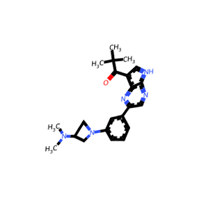 CN(C)C1CN(c2cccc(-c3cnc4[nH]cc(C(=O)C(C)(C)C)c4n3)c2)C1